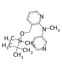 CN(c1cccnc1)c1ncccc1CO[Si](C)(C)C(C)(C)C